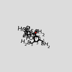 BCc1cc(CB)c(OC(CS(=O)(=O)O)(C(F)(F)F)C(F)(F)F)c(CB)c1